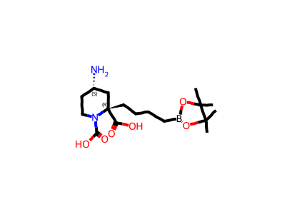 CC1(C)OB(CCCC[C@]2(C(=O)O)C[C@@H](N)CCN2C(=O)O)OC1(C)C